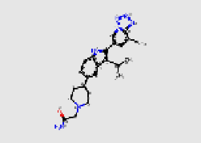 Cc1cc(-c2[nH]c3ccc(C4CCN(CC(N)=O)CC4)cc3c2C(C)C)cn2nnnc12